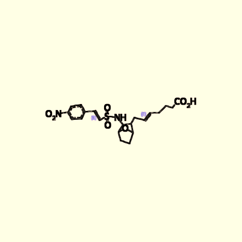 O=C(O)CCC/C=C/CC1C2CCC(O2)C1NS(=O)(=O)/C=C/c1ccc([N+](=O)[O-])cc1